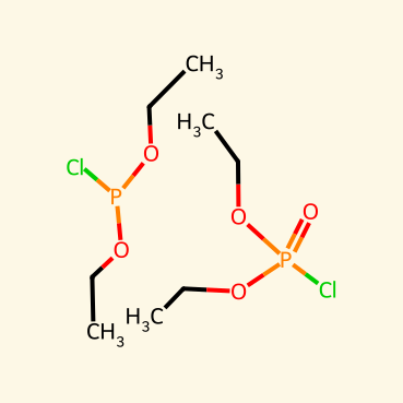 CCOP(=O)(Cl)OCC.CCOP(Cl)OCC